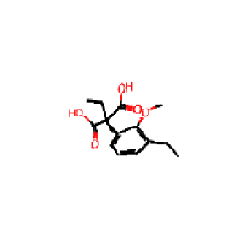 CCc1cccc(C(CC)(C(=O)O)C(=O)O)c1OC